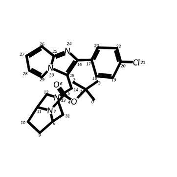 CC(C)(C)OC(=O)N1C2CCC1CN(Cc1c(-c3ccc(Cl)cc3)nc3ccccn13)C2